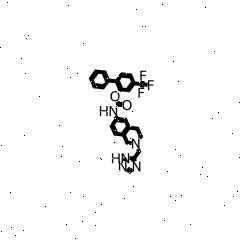 O=C(Nc1ccc2c(c1)CCN(Cc1ncn[nH]1)C2)Oc1cc(C(F)(F)F)ccc1-c1ccccc1